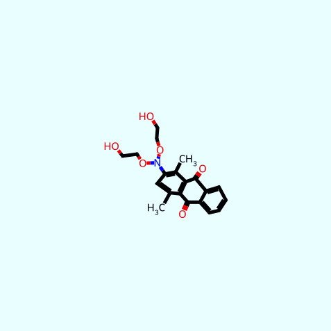 Cc1cc(N(OCCO)OCCO)c(C)c2c1C(=O)c1ccccc1C2=O